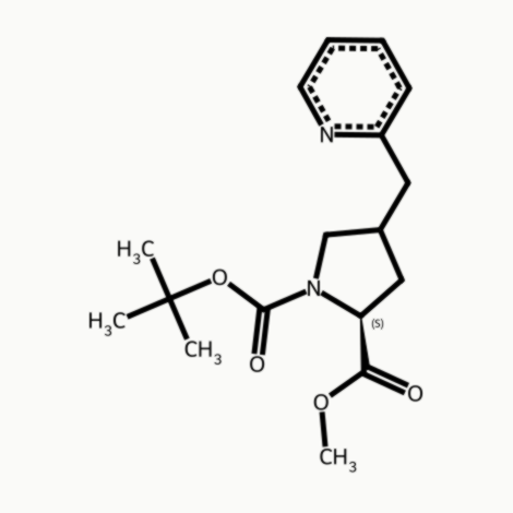 COC(=O)[C@@H]1CC(Cc2ccccn2)CN1C(=O)OC(C)(C)C